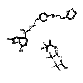 O=C(O)C(F)(F)F.O=C(O)C(F)(F)F.O=C(O)C(F)(F)F.O=c1[nH]c2c(O)ccc([C@@H](O)CNCCc3ccc(CNCCc4ccccn4)cc3)c2s1